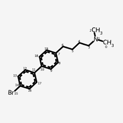 CN(C)CCCCc1ccc(-c2ccc(Br)cc2)cc1